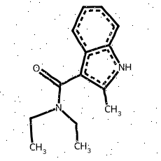 CCN(CC)C(=O)c1c(C)[nH]c2ccccc12